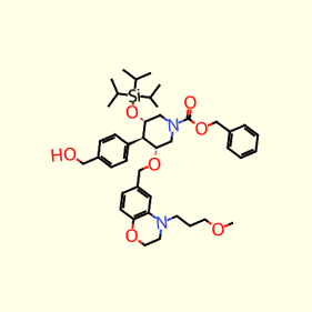 COCCCN1CCOc2ccc(CO[C@H]3CN(C(=O)OCc4ccccc4)C[C@@H](O[Si](C(C)C)(C(C)C)C(C)C)[C@@H]3c3ccc(CO)cc3)cc21